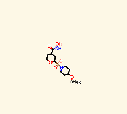 CCCCCCOC1CCN(S(=O)(=O)C2CC(C(=O)NO)CCO2)CC1